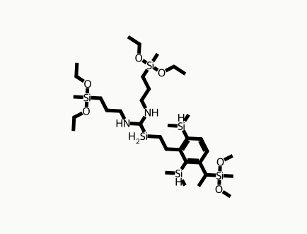 CCO[Si](C)(CCCNC(NCCC[Si](C)(OCC)OCC)[SiH2]CCc1c([SiH](C)C)ccc(C(C)[Si](C)(OC)OC)c1[SiH](C)C)OCC